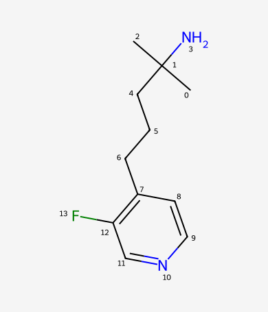 CC(C)(N)CCCc1ccncc1F